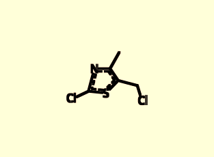 Cc1nc(Cl)sc1CCl